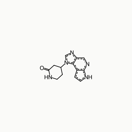 O=C1CC(n2cnc3cnc4[nH]ccc4c32)CCN1